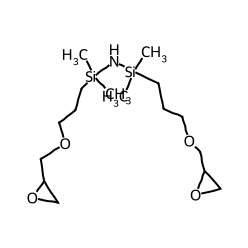 C[Si](C)(CCCOCC1CO1)N[Si](C)(C)CCCOCC1CO1